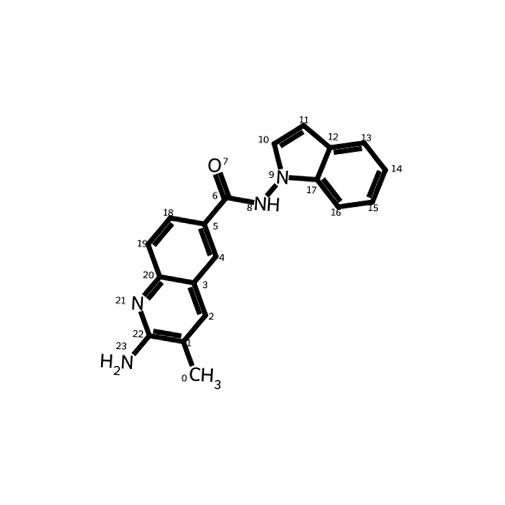 Cc1cc2cc(C(=O)Nn3ccc4ccccc43)ccc2nc1N